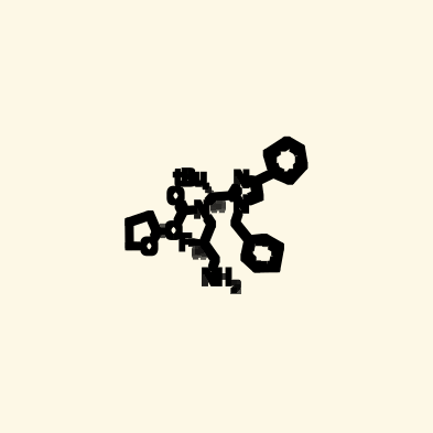 CC(C)(C)[C@H](c1nc(-c2ccccc2)cn1Cc1ccccc1)N(C[C@H](F)CN)C(=O)O[C@H]1CCCO1